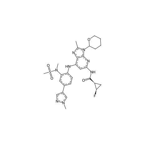 Cc1nc2c(Nc3ccc(-c4cnn(C)c4)cc3N(C)S(C)(=O)=O)cc(NC(=O)[C@H]3C[C@H]3F)nc2n1C1CCCCO1